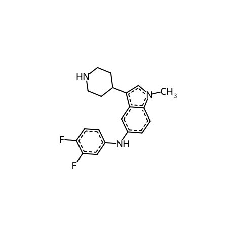 Cn1cc(C2CCNCC2)c2cc(Nc3ccc(F)c(F)c3)ccc21